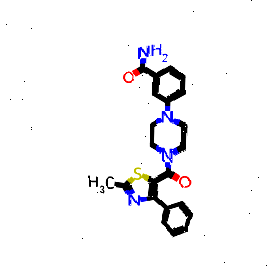 Cc1nc(-c2ccccc2)c(C(=O)N2CCN(c3cccc(C(N)=O)c3)CC2)s1